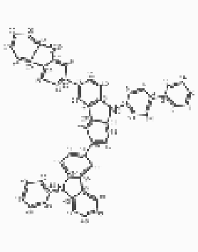 c1ccc(-c2ccc(-n3c4ccc(-c5ccc6c(c5)sc5ccccc56)cc4c4cc(-c5ccc6c(c5)c5ccccc5n6-c5ccccc5)ccc43)cc2)cc1